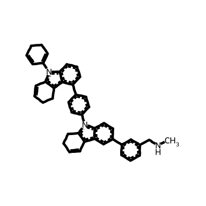 CNCc1cccc(-c2ccc3c(c2)c2c(n3-c3ccc(-c4cccc5c4c4c(n5C5=CCCC=C5)C=CCC4)cc3)CCC=C2)c1